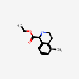 CCOC(=O)C1NCCc2c(C)cccc21